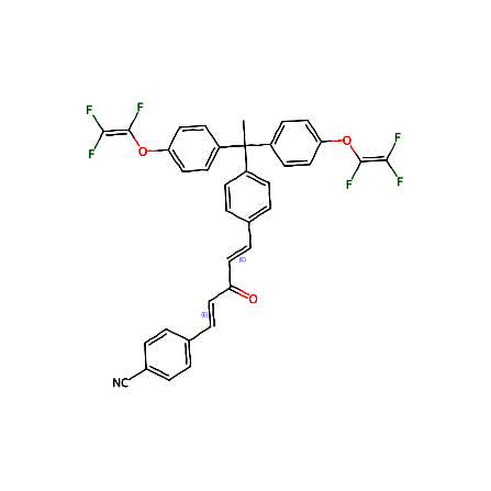 CC(c1ccc(/C=C/C(=O)/C=C/c2ccc(C#N)cc2)cc1)(c1ccc(OC(F)=C(F)F)cc1)c1ccc(OC(F)=C(F)F)cc1